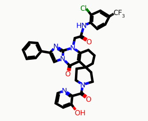 O=C(Cn1c2c(c(=O)n3cc(-c4ccccc4)nc13)C1(CCC2)CCN(C(=O)c2ncccc2O)CC1)Nc1ccc(C(F)(F)F)cc1Cl